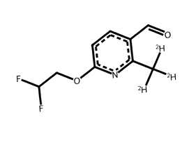 [2H]C([2H])([2H])c1nc(OCC(F)F)ccc1C=O